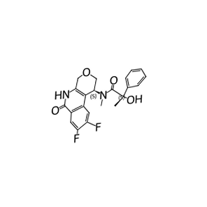 CN(C(=O)[C@@](C)(O)c1ccccc1)[C@@H]1COCc2[nH]c(=O)c3cc(F)c(F)cc3c21